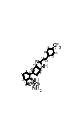 Cc1cccc(-c2ccc3[nH]c(C=Cc4ccc(C(F)(F)F)cc4)nc3c2)c1NS(N)(=O)=O